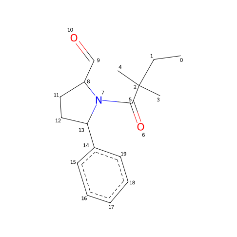 CCC(C)(C)C(=O)N1C(C=O)CCC1c1ccccc1